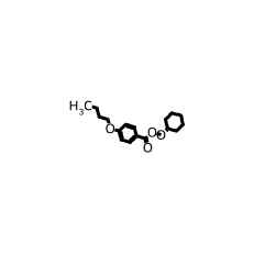 CCCCOc1ccc(C(=O)OO[C]2CCCCC2)cc1